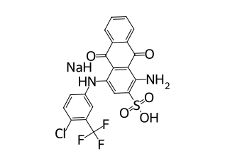 Nc1c(S(=O)(=O)O)cc(Nc2ccc(Cl)c(C(F)(F)F)c2)c2c1C(=O)c1ccccc1C2=O.[NaH]